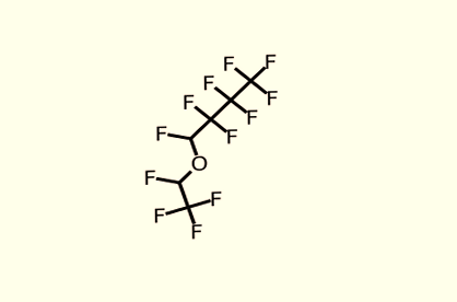 FC(OC(F)C(F)(F)C(F)(F)C(F)(F)F)C(F)(F)F